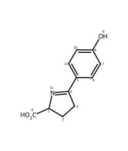 O=C(O)C1CCC(c2ccc(O)cc2)=N1